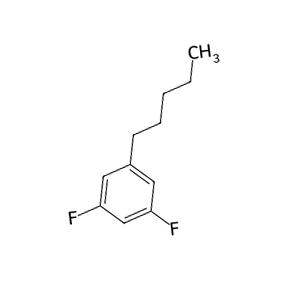 CCCCCc1cc(F)cc(F)c1